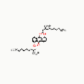 CCCCCCCCCCCCCCCCC(CC(=O)Oc1c2ccccc2c(OC(=O)CC(CCCCCCCCCCCCCCCC)C(=O)O)c2ccccc12)C(=O)O